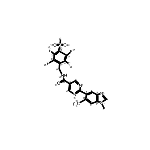 Cn1cnc2cc(-c3ncc(C(=O)NCc4c(F)c(F)c(S(C)(=O)=O)c(F)c4F)cn3)c(C(F)(F)F)cc21